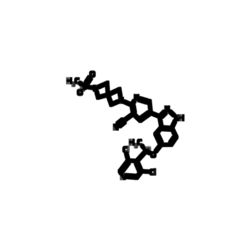 C[C@@H](Oc1ccc2[nH]nc(-c3cnc(N4CC5(C4)CN(S(C)(=O)=O)C5)c(C#N)c3)c2c1)c1c(Cl)cncc1Cl